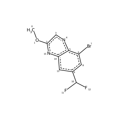 COc1cnc2c(Br)cc(C(F)F)cc2n1